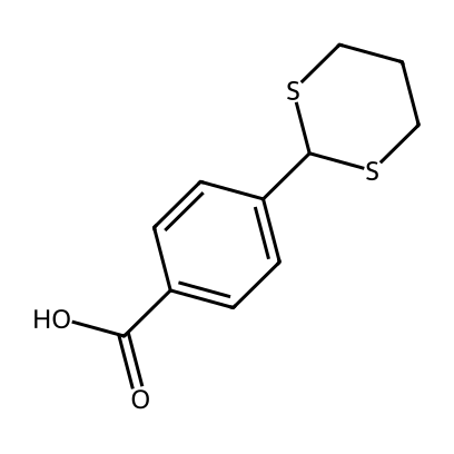 O=C(O)c1ccc(C2SCCCS2)cc1